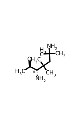 CC(=O)[C@@H](N)C(C)(C)CC(C)(C)N